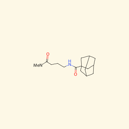 CNC(=O)CCCNC(=O)C12CC3CC(CC(C3)C1)C2